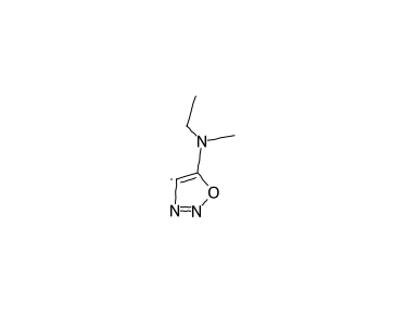 CCN(C)c1[c]nno1